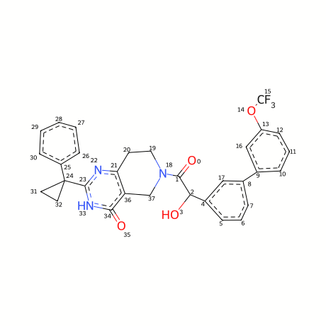 O=C(C(O)c1cccc(-c2cccc(OC(F)(F)F)c2)c1)N1CCc2nc(C3(c4ccccc4)CC3)[nH]c(=O)c2C1